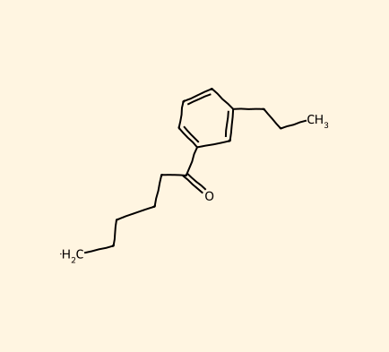 [CH2]CCCCC(=O)c1cccc(CCC)c1